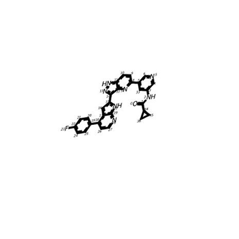 O=C(Nc1cncc(-c2ccc3[nH]nc(-c4cc5c(-c6ccc(F)cc6)ccnc5[nH]4)c3n2)c1)C1CC1